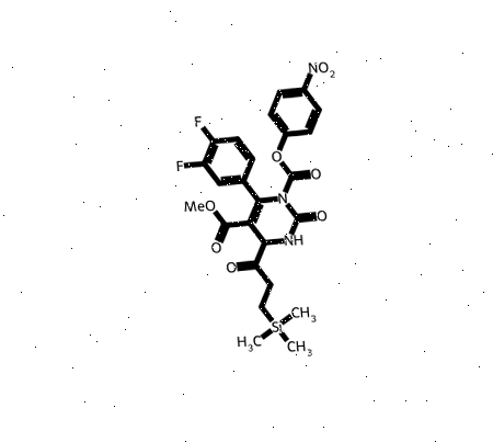 COC(=O)C1=C(c2ccc(F)c(F)c2)N(C(=O)Oc2ccc([N+](=O)[O-])cc2)C(=O)NC1C(=O)CC[Si](C)(C)C